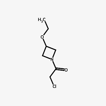 CCOC1CN(C(=O)CCl)C1